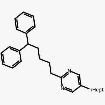 CCCCCCCc1cnc(CCCCC(c2ccccc2)c2ccccc2)nc1